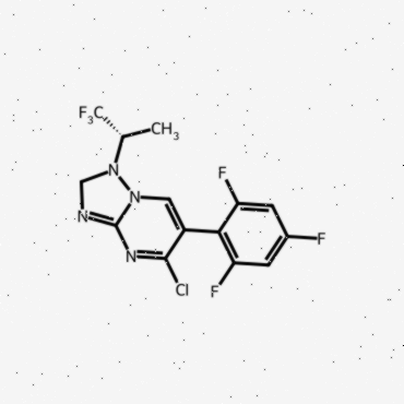 C[C@H](N1CN=C2N=C(Cl)C(c3c(F)cc(F)cc3F)=CN21)C(F)(F)F